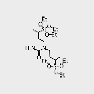 CCO[Si](OCC)(OCC)C(C)CCN(CCC(C)[Si](OCC)(OCC)OCC)C(N)=O